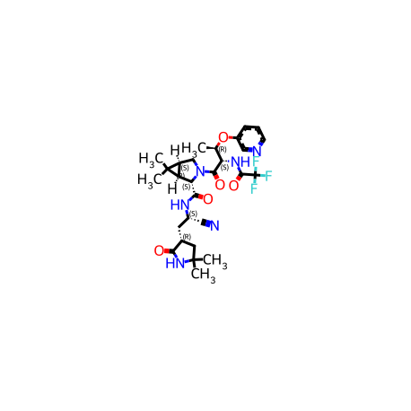 C[C@@H](Oc1cccnc1)[C@H](NC(=O)C(F)(F)F)C(=O)N1C[C@H]2[C@@H]([C@H]1C(=O)N[C@H](C#N)C[C@@H]1CC(C)(C)NC1=O)C2(C)C